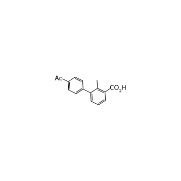 CC(=O)c1ccc(-c2cccc(C(=O)O)c2C)cc1